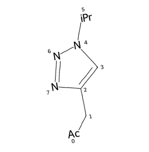 CC(=O)Cc1cn(C(C)C)nn1